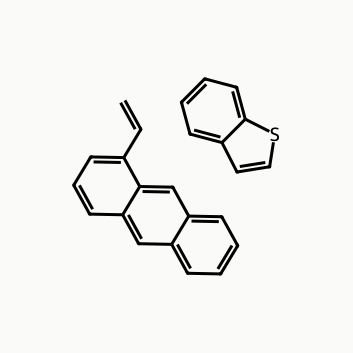 C=Cc1cccc2cc3ccccc3cc12.c1ccc2sccc2c1